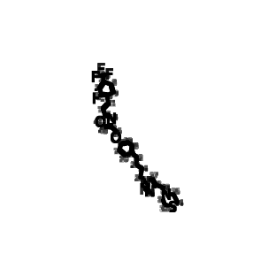 Fc1cc(C(F)(F)F)ccc1/C=C/c1nc(COc2ccc(CCCCn3cc(CN4CCSCC4)nn3)cc2)co1